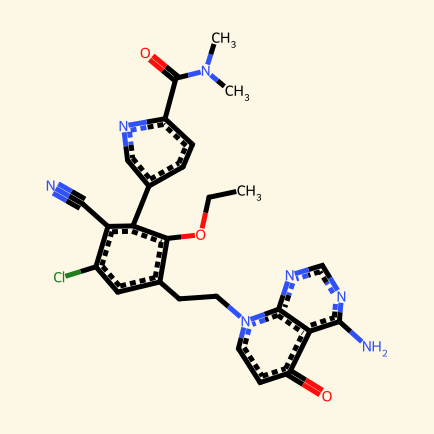 CCOc1c(CCn2ccc(=O)c3c(N)ncnc32)cc(Cl)c(C#N)c1-c1ccc(C(=O)N(C)C)nc1